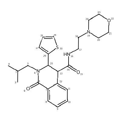 CC(C)CN1C(=O)c2ccccc2C(C(=O)NCCN2CCOCC2)C1c1cccs1